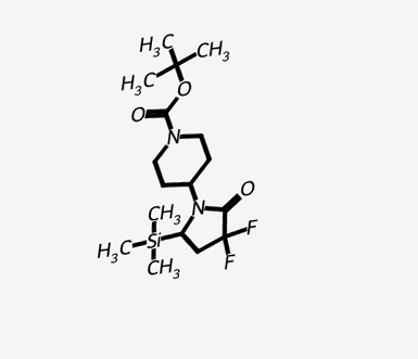 CC(C)(C)OC(=O)N1CCC(N2C(=O)C(F)(F)CC2[Si](C)(C)C)CC1